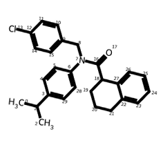 CC(C)c1ccc(N(Cc2ccc(Cl)cc2)C(=O)C2CCCc3ccccc32)cc1